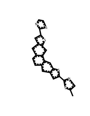 Cc1cnc(-c2cc3cc4ccc5cc6cc(-c7nccs7)sc6cc5c4cc3s2)s1